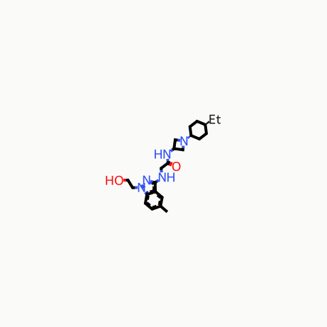 CC[C@H]1CC[C@@H](N2CC(NC(=O)CNc3nn(CCO)c4ccc(C)cc34)C2)CC1